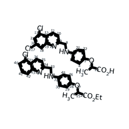 CC(Oc1ccc(NCc2ccc3c(Cl)cc(Cl)cc3n2)cc1)C(=O)O.CCOC(=O)C(C)Oc1ccc(NCc2ccc3c(Cl)cccc3n2)cc1